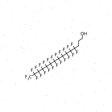 OCCCC(F)(F)C(F)(F)C(F)(F)C(F)(F)C(F)(F)C(F)(F)C(F)(F)C(F)(F)C(F)(F)C(F)(F)C(F)(F)C(F)(F)F